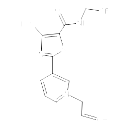 C=CC[n+]1cccc(-c2nc(C)c(C(=O)NCC(F)(F)F)s2)c1